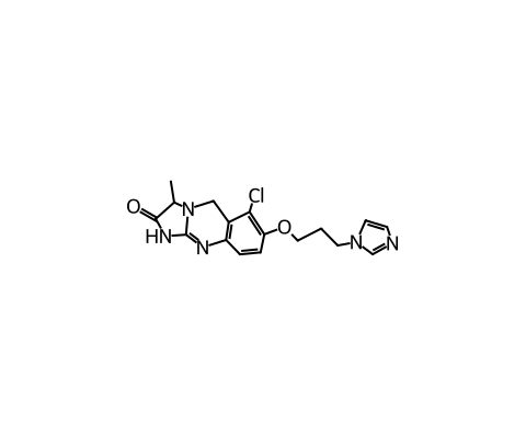 CC1C(=O)NC2=Nc3ccc(OCCCn4ccnc4)c(Cl)c3CN21